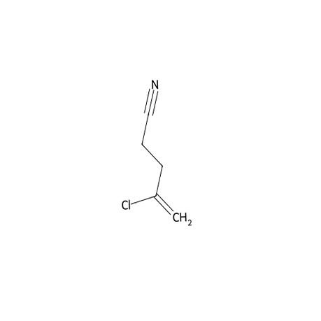 C=C(Cl)CCC#N